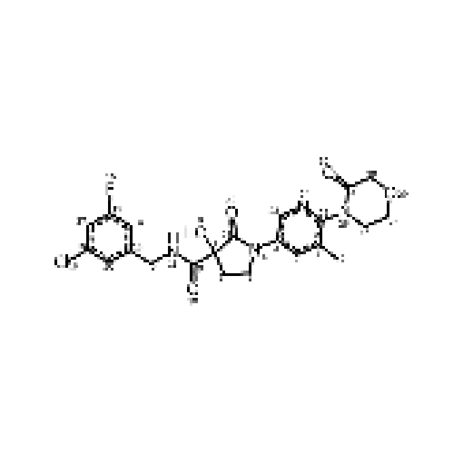 Cc1cc(N2CCC(O)(C(=O)NCc3cc(F)cc(Cl)c3)C2=O)cnc1N1CCOCC1=O